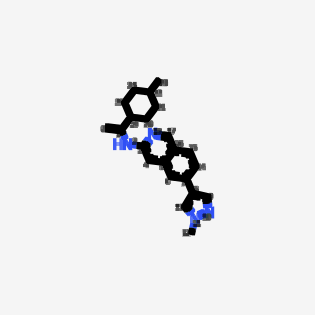 C=C(Nc1cc2cc(-c3cnn(C)c3)ccc2cn1)C1CCC(C)CC1